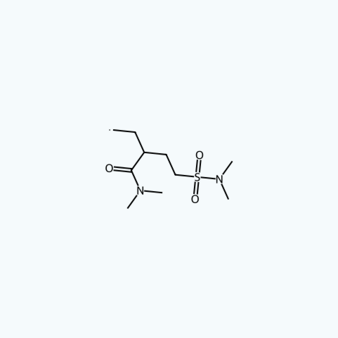 [CH2]CC(CCS(=O)(=O)N(C)C)C(=O)N(C)C